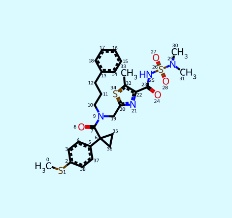 CSc1ccc(C2(C(=O)N(CCCc3ccccc3)Cc3nc(C(=O)NS(=O)(=O)N(C)C)c(C)s3)CC2)cc1